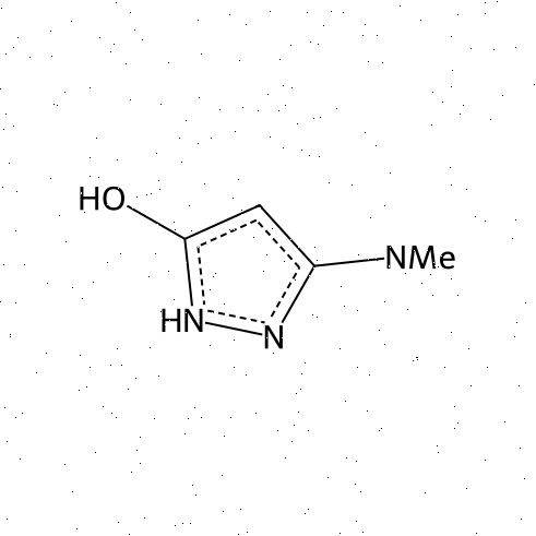 [CH2]Nc1cc(O)[nH]n1